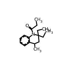 CCC(=O)N1c2ccccc2C(C)CC1(CC)CC